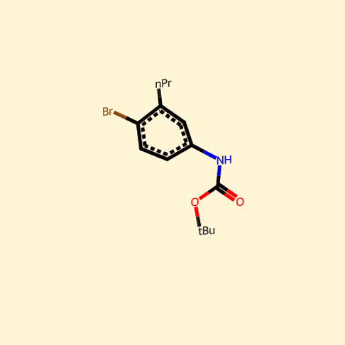 CCCc1cc(NC(=O)OC(C)(C)C)ccc1Br